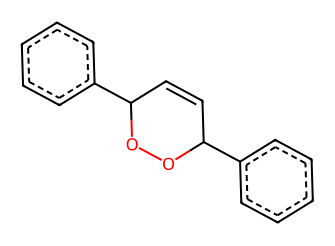 C1=CC(c2ccccc2)OOC1c1ccccc1